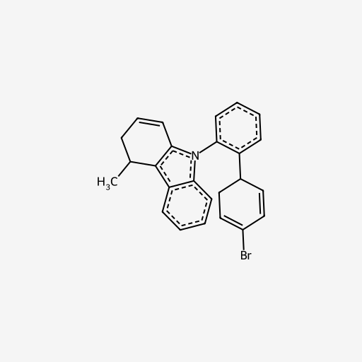 CC1CC=Cc2c1c1ccccc1n2-c1ccccc1C1C=CC(Br)=CC1